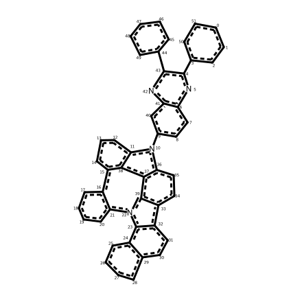 c1ccc(-c2nc3ccc(-n4c5cccc6c7ccccc7n7c8c9ccccc9ccc8c8ccc4c(c65)c87)cc3nc2-c2ccccc2)cc1